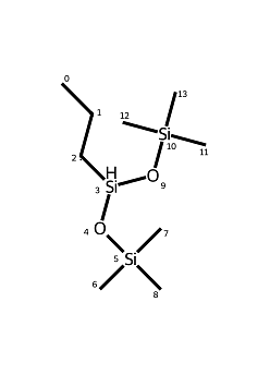 CC[CH][SiH](O[Si](C)(C)C)O[Si](C)(C)C